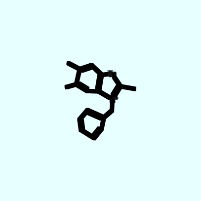 Cc1cc2[te]c(C)[n+](Cc3ccccc3)c2cc1C